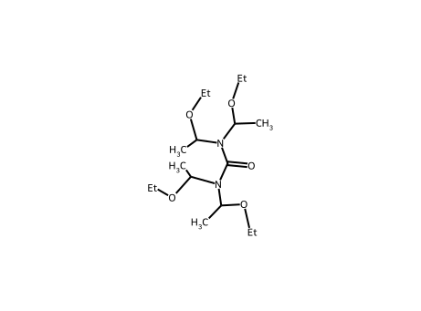 CCOC(C)N(C(=O)N(C(C)OCC)C(C)OCC)C(C)OCC